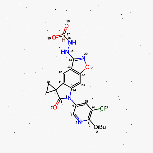 CC(C)COc1ncc(N2C(=O)C3(CC3)c3cc4c(NN[SH](=O)=O)noc4cc32)cc1Cl